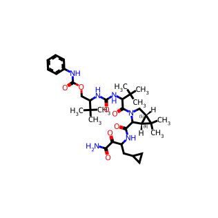 CC(C)(C)C(COC(=O)Nc1ccccc1)NC(=O)NC(C(=O)N1C[C@H]2[C@@H](C1C(=O)NC(CC1CC1)C(=O)C(N)=O)C2(C)C)C(C)(C)C